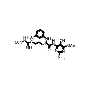 CSc1nc(N)nc(NC(=O)[C@H](CCCNC(=N)N[N+](=O)[O-])Nc2cccc(C(F)(F)F)c2)c1C#N